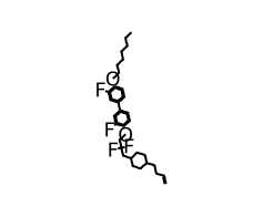 C=CCCC1CCC(CC(F)(F)COc2ccc(-c3ccc(OCCCCCCC)c(F)c3)cc2F)CC1